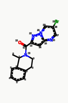 CC1c2ccccc2CCN1C(=O)c1cc2ncc(Br)cn2n1